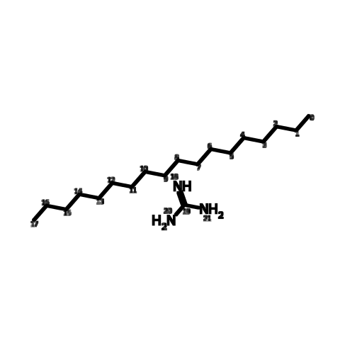 CCCCCCCCCCCCCCCCCC.N=C(N)N